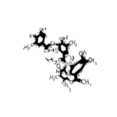 C=C(OC[C@@H](C)[C@@H](C)[C@H](O)C(OC(=C)c1cc(C)c(O)c(OC(=C)c2cc(C)c(CC)c(O)c2)c1)C(C)C)c1cc(C)c(O)c(O)c1